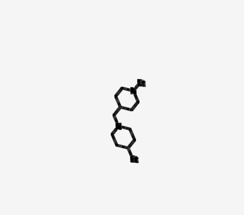 CCC1CCN(CC2CCN(CC)CC2)CC1